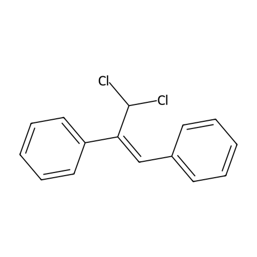 ClC(Cl)C(=Cc1ccccc1)c1ccccc1